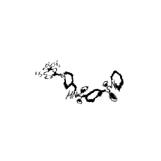 CC(C)(C)OC(=O)N1CCC(CNS(=O)(=O)c2cccc(S(=O)(=O)N3CCCCC3)c2)CC1